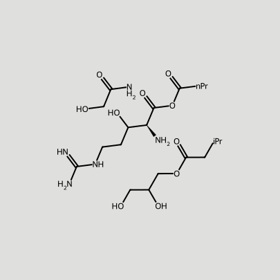 CC(C)CC(=O)OCC(O)CO.CCCC(=O)OC(=O)[C@@H](N)C(O)CCNC(=N)N.NC(=O)CO